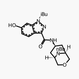 CCCCN1[C@@H]2COC[C@H]1C[C@@H](NC(=O)c1nn([C@@H](C)CC)c3cc(O)ccc13)C2